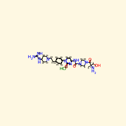 C[C@](N)(CO)C(=O)N1CCN(C(=O)Nc2ccn(-c3ccc(CCN4CCC(NC(=N)N)CC4)cc3)c(=O)n2)CC1.Cl